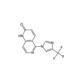 O=c1ccc2c(-n3cnc(C(F)(F)F)c3)nccc2[nH]1